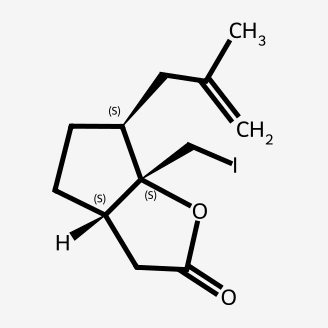 C=C(C)C[C@@H]1CC[C@H]2CC(=O)O[C@@]12CI